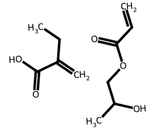 C=C(CC)C(=O)O.C=CC(=O)OCC(C)O